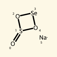 O=S1O[Se]O1.[Na]